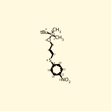 CC(C)(C)[Si](C)(C)OCC=CSc1ccc([N+](=O)[O-])cc1